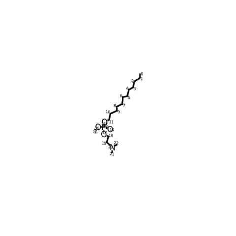 CCCCCCCCCCCCOP(=O)(OC)OCCN(C)C